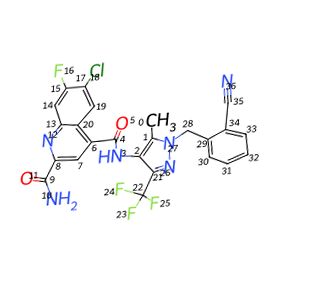 Cc1c(NC(=O)c2cc(C(N)=O)nc3cc(F)c(Cl)cc23)c(C(F)(F)F)nn1Cc1ccccc1C#N